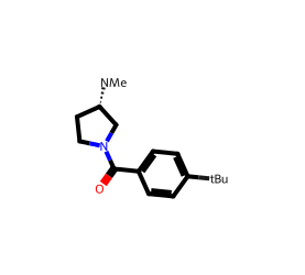 CN[C@H]1CCN(C(=O)c2ccc(C(C)(C)C)cc2)C1